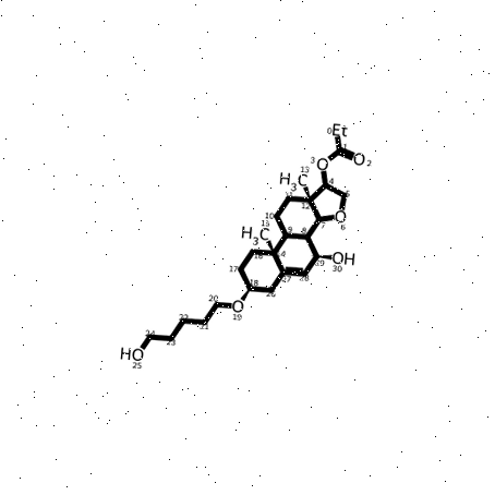 CCC(=O)OC1COC2C3C(CC[C@]12C)[C@@]1(C)CC[C@H](OCCCCCO)CC1=C[C@@H]3O